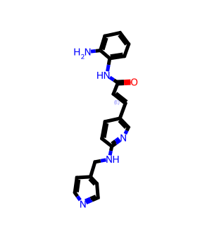 Nc1ccccc1NC(=O)/C=C/c1ccc(NCc2ccncc2)nc1